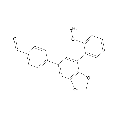 COc1ccccc1-c1cc(-c2ccc(C=O)cc2)cc2c1OCO2